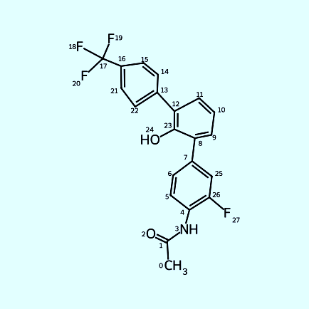 CC(=O)Nc1ccc(-c2cccc(-c3ccc(C(F)(F)F)cc3)c2O)cc1F